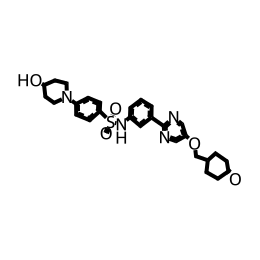 O=C1CCC(COc2cnc(-c3cccc(NS(=O)(=O)c4ccc(N5CCC(O)CC5)cc4)c3)nc2)CC1